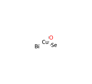 [Bi].[Cu].[O].[Se]